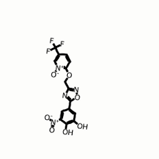 O=[N+]([O-])c1cc(-c2nc(COc3ccc(C(F)(F)F)c[n+]3[O-])no2)cc(O)c1O